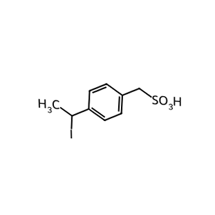 CC(I)c1ccc(CS(=O)(=O)O)cc1